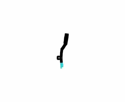 C=C[CH2][Cu][F]